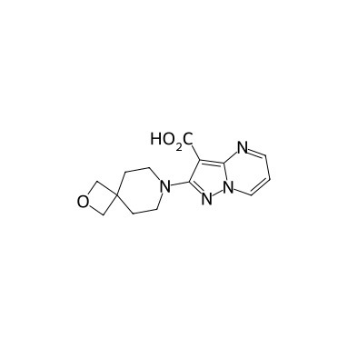 O=C(O)c1c(N2CCC3(CC2)COC3)nn2cccnc12